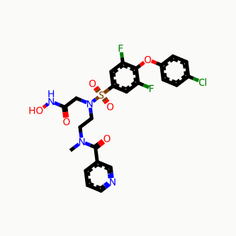 CN(CCN(CC(=O)NO)S(=O)(=O)c1cc(F)c(Oc2ccc(Cl)cc2)c(F)c1)C(=O)c1cccnc1